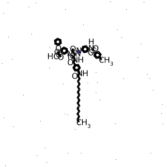 CCCCCCCCCCCCCCCCCC(=O)Nc1ccc(C(=O)NC2=NN(c3ccc(Oc4ccccc4)c(S(=O)(=O)O)c3)C(=O)C2/N=N/c2ccc(NS(=O)(=O)c3ccc(C)cc3)cc2)cc1